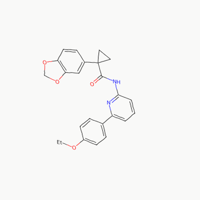 CCOc1ccc(-c2cccc(NC(=O)C3(c4ccc5c(c4)OCO5)CC3)n2)cc1